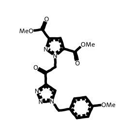 COC(=O)c1cc(C(=O)OC)n(CC(=O)c2cn(Cc3ccc(OC)cc3)nn2)n1